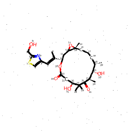 C/C(=C\c1csc(CO)n1)[C@@H]1CC2O[C@]2(C)CCC[C@H](C)[C@H](O)[C@@H](C)C(=O)C(C)(C)[C@@H](O)CC(=O)O1